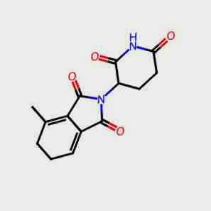 CC1=C2C(=O)N(C3CCC(=O)NC3=O)C(=O)C2=CCC1